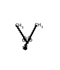 CCCCCCCCCCCCCCOC(=O)CCN(CCSSc1ccccn1)CCC(=O)OCCCCCCCCCCCCCC